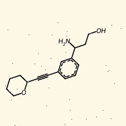 NC(CCO)c1cccc(C#CC2CCCCO2)c1